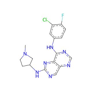 CN1CCC(Nc2ncc3ncnc(Nc4ccc(F)c(Cl)c4)c3n2)C1